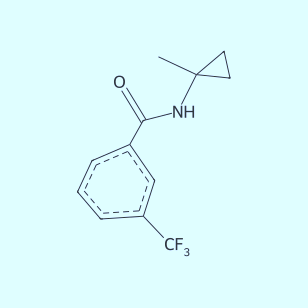 CC1(NC(=O)c2cccc(C(F)(F)F)c2)CC1